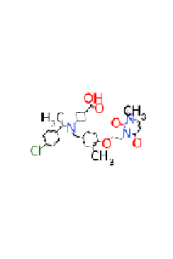 Cc1cc(CN(C2CC(C(=O)O)C2)[C@H](C)c2ccc(Cl)cc2)ccc1OCCn1c(=O)ccn(C)c1=O